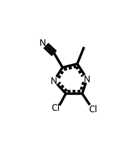 Cc1nc(Cl)c(Cl)nc1C#N